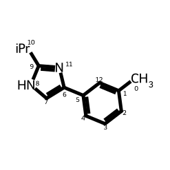 Cc1cccc(-c2c[nH]c(C(C)C)n2)c1